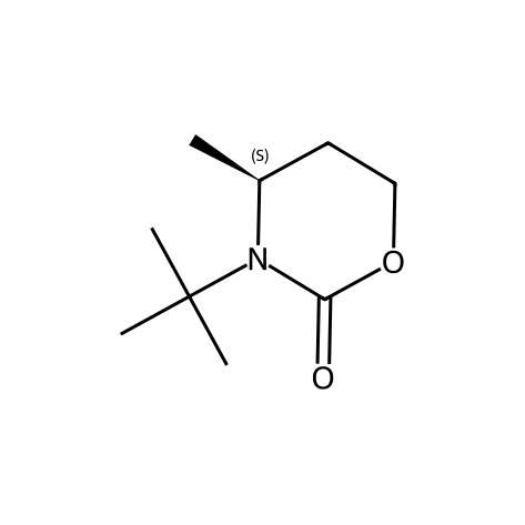 C[C@H]1CCOC(=O)N1C(C)(C)C